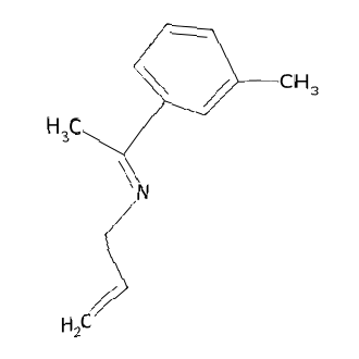 C=CCN=C(C)c1cccc(C)c1